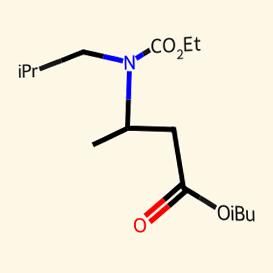 CCOC(=O)N(CC(C)C)C(C)CC(=O)OCC(C)C